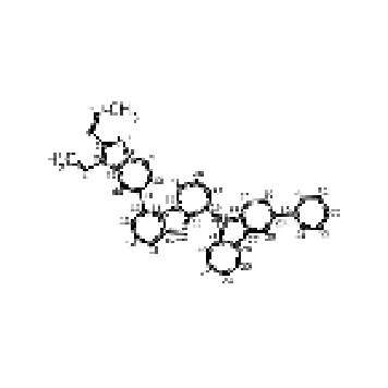 C=Cc1c(/C=C\C)sc2ccc(-c3cccc4sc5c(-n6c7ccccc7c7cc(-c8ccccc8)ccc76)cccc5c34)cc12